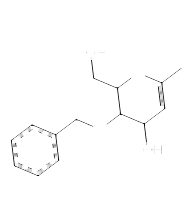 CC1=CC(O)C(OCc2ccccc2)C(CO)O1